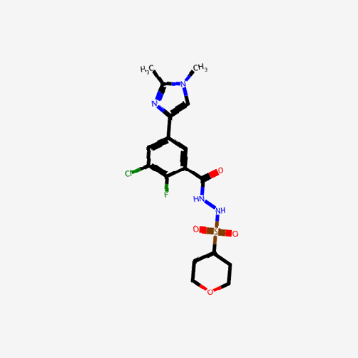 Cc1nc(-c2cc(Cl)c(F)c(C(=O)NNS(=O)(=O)C3CCOCC3)c2)cn1C